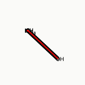 CC(C)(CN=[N+]=[N-])COCCOCCOCCOCCOCCOCCOCCOCCOCCOCCOCCOCCOCCOCCOCCOCCOCCOCCOCCOCCOCCOCCOCCOCCOCCOCCOCCOCCOCCOCCOCCOCCOCCOCCOCCOCCOCCOCCOCCOCCOCCOCCOCCOCCOCCOCCO